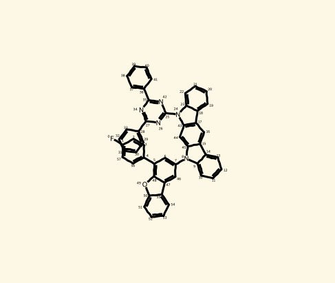 Fc1ccc(-c2cc(-n3c4ccccc4c4cc5c6ccccc6n(-c6nc(-c7ccccc7)nc(-c7ccccc7)n6)c5cc43)cc3c2oc2ccccc23)cc1